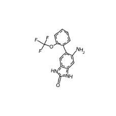 Nc1cc2[nH]c(=O)[nH]c2cc1-c1ccccc1OC(F)(F)F